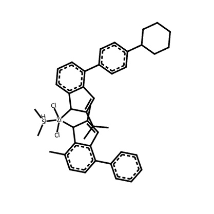 CC1=Cc2c(-c3ccccc3)ccc(C)c2[CH]1[Zr]([Cl])([Cl])([CH]1C(C(C)C)=Cc2c(-c3ccc(C4CCCCC4)cc3)cccc21)[SiH](C)C